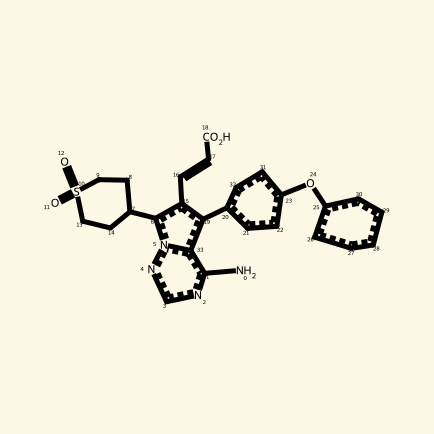 Nc1ncnn2c(C3CCS(=O)(=O)CC3)c(/C=C/C(=O)O)c(-c3ccc(Oc4ccccc4)cc3)c12